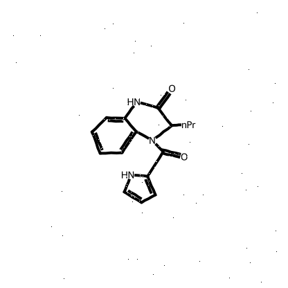 CCCC1C(=O)Nc2ccccc2N1C(=O)c1ccc[nH]1